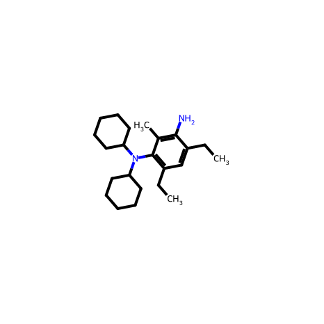 CCc1cc(CC)c(N(C2CCCCC2)C2CCCCC2)c(C)c1N